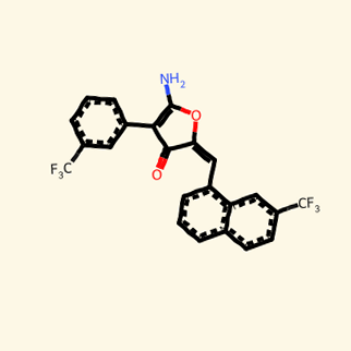 NC1=C(c2cccc(C(F)(F)F)c2)C(=O)C(=Cc2cccc3ccc(C(F)(F)F)cc23)O1